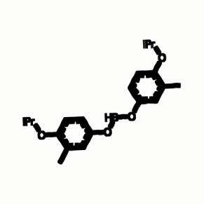 Cc1cc(OBOc2ccc(OC(C)C)c(C)c2)ccc1OC(C)C